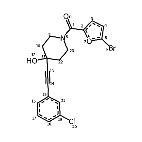 O=C(c1ccc(Br)o1)N1CCC(O)(C#Cc2cccc(Cl)c2)CC1